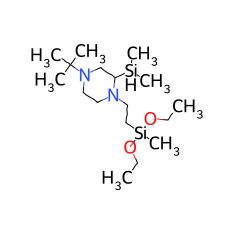 CCO[Si](C)(CCN1CCN(C(C)(C)C)CC1[SiH](C)C)OCC